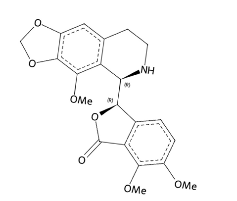 COc1ccc2c(c1OC)C(=O)O[C@H]2[C@@H]1NCCc2cc3c(c(OC)c21)OCO3